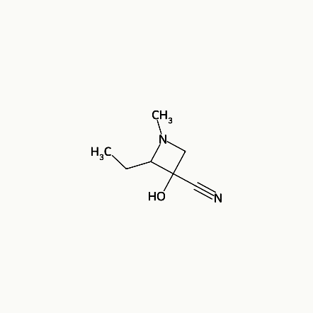 CCC1N(C)CC1(O)C#N